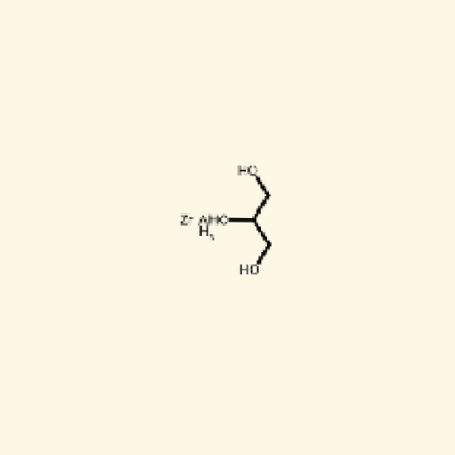 OCC(O)CO.[AlH3].[Zr]